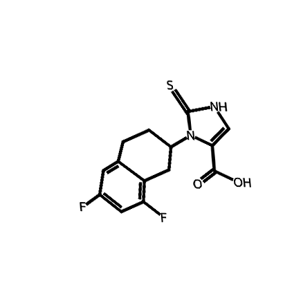 O=C(O)c1c[nH]c(=S)n1C1CCc2cc(F)cc(F)c2C1